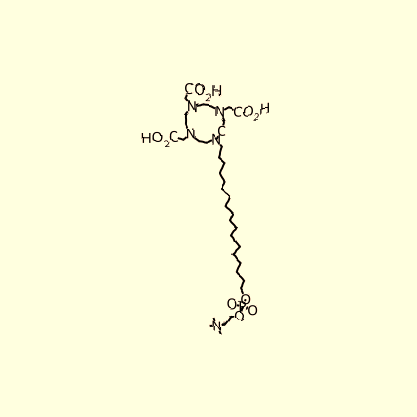 C[N+](C)(C)CCOP(=O)([O-])OCCCCCCCCCCCCCCCCCCN1CCN(CC(=O)O)CCN(CC(=O)O)CCN(CC(=O)O)CC1